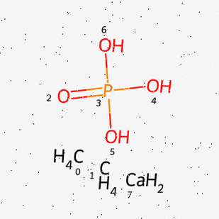 C.C.O=P(O)(O)O.[CaH2]